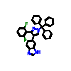 Fc1cccc(F)c1-c1nn(C(c2ccccc2)(c2ccccc2)C2C=CC=CC2)cc1-c1ccc2nc[nH]c2c1